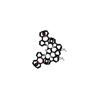 Cc1cc(C)cc(-c2c(-n3c4ccccc4c4ccccc43)c(-n3c4cccc(-c5ccccc5)c4c4c(-c5ccccc5)cccc43)nc(-n3c4cccc(-c5ccccc5)c4c4c(-c5ccccc5)cccc43)c2-n2c3ccccc3c3ccccc32)c1